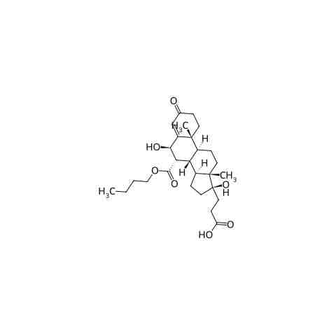 CCCCOC(=O)[C@H]1[C@@H]2[C@H](CC[C@@]3(C)[C@H]2CC[C@@]3(O)CCC(=O)O)[C@@]2(C)CCC(=O)C=C2[C@@H]1O